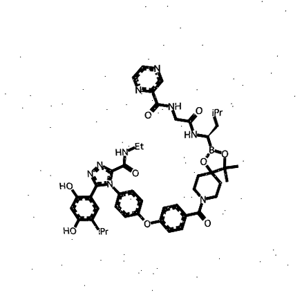 CCNC(=O)c1nnc(-c2cc(C(C)C)c(O)cc2O)n1-c1ccc(Oc2ccc(C(=O)N3CCC4(CC3)OB([C@H](CC(C)C)NC(=O)CNC(=O)c3cnccn3)OC4(C)C)cc2)cc1